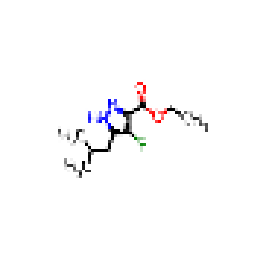 CCOC(=O)c1n[nH]c(CC(C)C)c1F